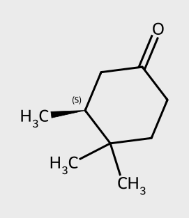 C[C@H]1CC(=O)CCC1(C)C